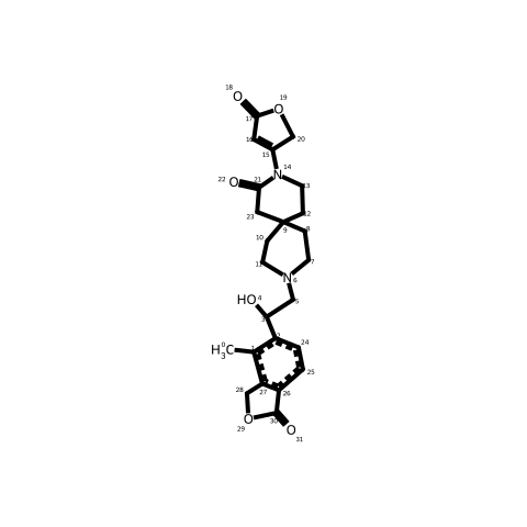 Cc1c(C(O)CN2CCC3(CC2)CCN(C2=CC(=O)OC2)C(=O)C3)ccc2c1COC2=O